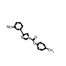 Cc1ccc(OC(=O)n2cnc(-c3cccc(C#N)c3)c2)cc1